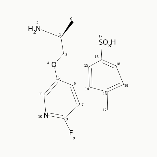 C[C@H](N)COc1ccc(F)nc1.Cc1ccc(S(=O)(=O)O)cc1